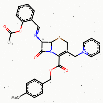 COc1ccc(COC(=O)C2=C(C[n+]3ccccc3)CSC3[C@H](N=Cc4ccccc4OC(=O)C(F)(F)F)C(=O)N23)cc1